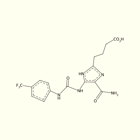 NC(=O)c1nc(CCCC(=O)O)[nH]c1NC(=O)Nc1ccc(C(F)(F)F)cc1